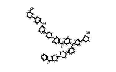 C[C@@H](c1ccccc1)c1cnc(N2CCN(c3ncnc(N(c4ccc(N5CCC[C@@H](O)C5)cc4)c4cccc([C@@H](C)c5cnc(N6CCN(c7ncnc(Nc8ccc(N9CCC[C@@H](O)C9)cc8)n7)CC6)nc5)c4)n3)CC2)nc1